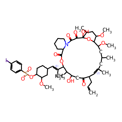 C=CCC1/C=C(/C)CC(C)CC(OC)C2OC(O)(C(=O)C(=O)N3CCCCC3C(=O)OC(/C(C)=C/C3CCC(OS(=O)(=O)c4ccc(I)cc4)C(OC)C3)C(C)C(O)CC1=O)C(C)CC2OC